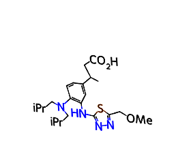 COCc1nnc(Nc2cc(C(C)CC(=O)O)ccc2N(CC(C)C)CC(C)C)s1